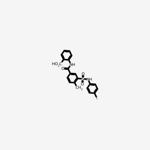 Cc1ccc(C(=O)Nc2ccccc2C(=O)O)cc1S(=O)(=O)Nc1ccc(I)cc1